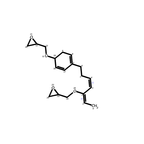 C/C=C(\C=C/CCC1=CCC(OCC2CO2)C=C1)OCC1CO1